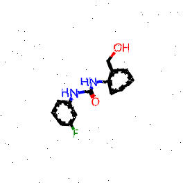 O=C(Nc1cccc(F)c1)Nc1ccccc1CO